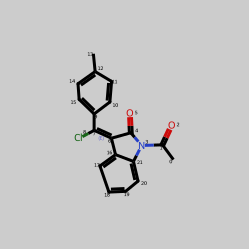 CC(=O)N1C(=O)/C(=C(/Cl)c2ccc(C)cc2)c2ccccc21